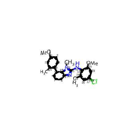 COc1ccc(-c2cccc3nc(Nc4c(C)cc(Cl)cc4OC)n(C)c23)c(C)c1